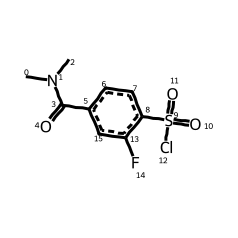 CN(C)C(=O)c1ccc(S(=O)(=O)Cl)c(F)c1